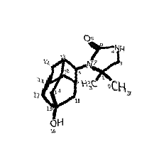 CC1(C)CNC(=O)N1C1C2CC3CC1CC(O)(C3)C2